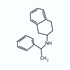 CC(NC1CCc2ccccc2C1)c1ccccc1